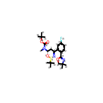 CN(CCC(=N[S+]([O-])C(C)(C)C)c1cc(F)ccc1C1=NC(C)(C)CO1)C(=O)OC(C)(C)C